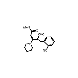 CNC(=O)/C=C(\N(C=O)Cc1ccccc1C#N)N1CCCCC1